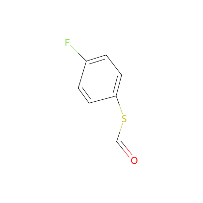 O=CSc1ccc(F)cc1